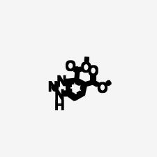 COC(=O)c1ccc2[nH]nnc2c1C(=O)OC